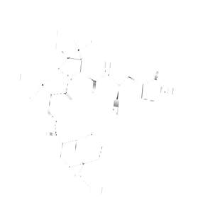 COC12CCCC(C1)C(C(=O)N=CC(C(=O)N1C[C@H]3C([C@H]1C(=O)N[C@H](C#N)C[C@@H]1CCNC1=O)C3(C)C)C(C)(C)C)CC2